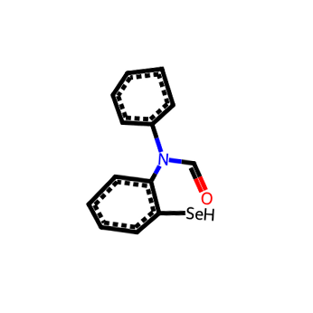 O=CN(c1ccccc1)c1ccccc1[SeH]